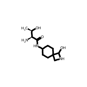 C[C@@H](O)[C@H](N)C(=O)NC1CCC2(CC1)CNC2O